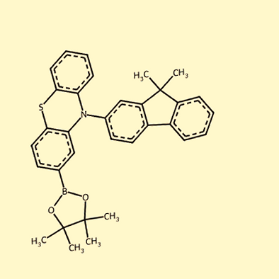 CC1(C)c2ccccc2-c2ccc(N3c4ccccc4Sc4ccc(B5OC(C)(C)C(C)(C)O5)cc43)cc21